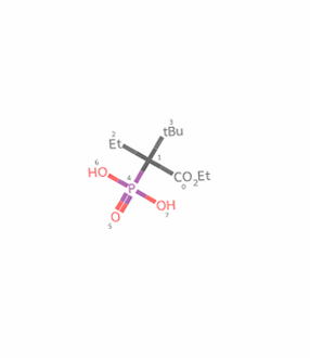 CCOC(=O)C(CC)(C(C)(C)C)P(=O)(O)O